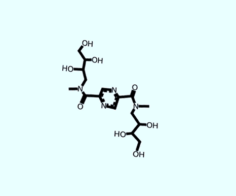 CN(CC(O)C(O)CO)C(=O)c1cnc(C(=O)N(C)CC(O)C(O)CO)cn1